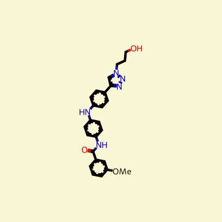 COc1cccc(C(=O)Nc2ccc(Nc3ccc(-c4cn(CCCO)nn4)cc3)cc2)c1